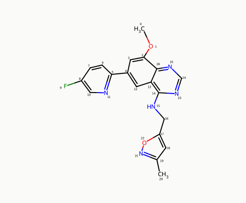 COc1cc(-c2ccc(F)cn2)cc2c(NCc3cc(C)no3)ncnc12